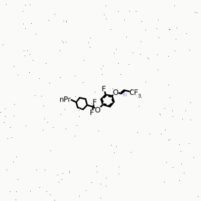 CCCC1CCC(C(F)(F)Oc2ccc(O/C=C/C(F)(F)F)c(F)c2)CC1